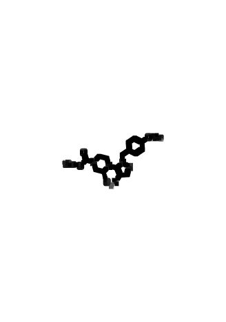 COc1ccc(Cn2ncc([N+](=O)[O-])c2N2CCN(C(=O)OC(C)(C)C)C[C@@H]2C)cc1